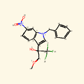 COCC(O)(c1cn(Cc2ccccc2)c2cc([N+](=O)[O-])ccc12)C(F)(F)F